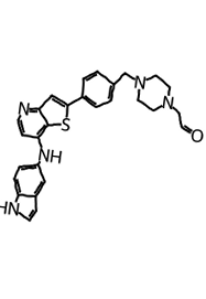 O=CCN1CCN(Cc2ccc(-c3cc4nccc(Nc5ccc6[nH]ccc6c5)c4s3)cc2)CC1